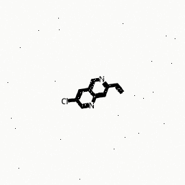 C=Cc1cc2ncc(Cl)cc2cn1